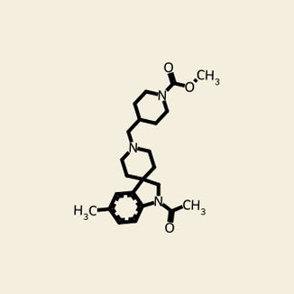 COC(=O)N1CCC(CN2CCC3(CC2)CN(C(C)=O)c2ccc(C)cc23)CC1